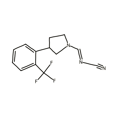 N#CN=CN1CCC(c2ccccc2C(F)(F)F)C1